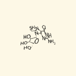 Nc1nc2c(nc(CS)n2[C@@H]2O[C@H](CO)C(O)C2O)c(=O)[nH]1